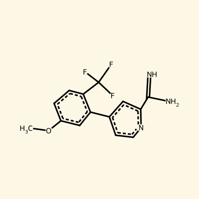 COc1ccc(C(F)(F)F)c(-c2ccnc(C(=N)N)c2)c1